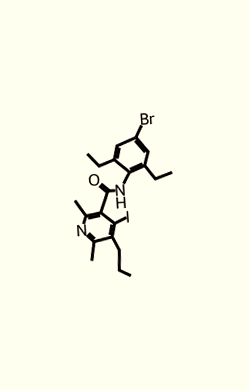 CCCc1c(C)nc(C)c(C(=O)Nc2c(CC)cc(Br)cc2CC)c1I